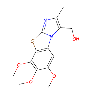 COc1cc2c(sc3nc(C)c(CO)n32)c(OC)c1OC